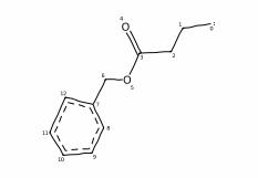 [CH]CCC(=O)OCc1ccccc1